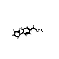 OCc1ccc2c(c1)nc1n2CCC1